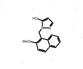 COc1ccc2ccccc2c1Cn1nccc1O